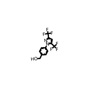 OCc1ccc(-n2nc(C(F)(F)F)cc2C(F)(F)F)cc1